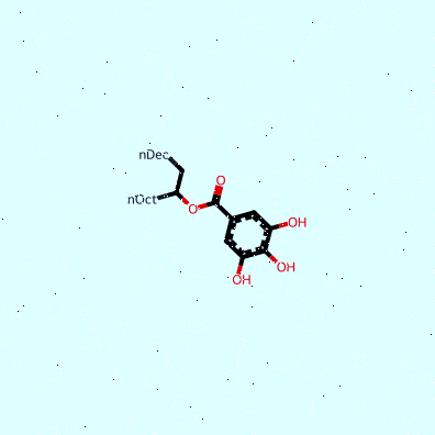 CCCCCCCCCCCC(CCCCCCCC)OC(=O)c1cc(O)c(O)c(O)c1